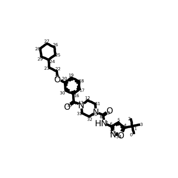 CC(C)(C)c1cc(NC(=O)N2CCN(C(=O)c3cccc(OCCC4CCCCC4)c3)CC2)no1